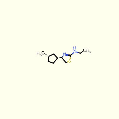 CCNC1=NC([C@@H]2CC[C@H](C)C2)CS1